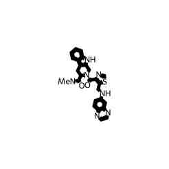 CNC(=O)C1Cc2c([nH]c3ccccc23)CN1C(=O)c1ncsc1CNc1ccc2nccnc2c1